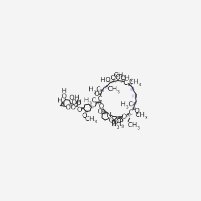 CCC[C@H]1C[C@H](OC)/C(C)=C/C=C/C=C/[C@@H](C)C[C@@H](C)C(=O)[C@H](OC)[C@H](O)/C(C)=C/[C@@H](C)C(=O)C[C@@H]([C@H](C)C[C@H]2CC[C@@H](OC(=O)O[C@@]3(O)OC4C[C@@H]4C(O)C3O)[C@H](OC)C2)OC(=O)[C@@H]2CCCCN2C(OC)C(=O)[C@@](O)(CC)O1